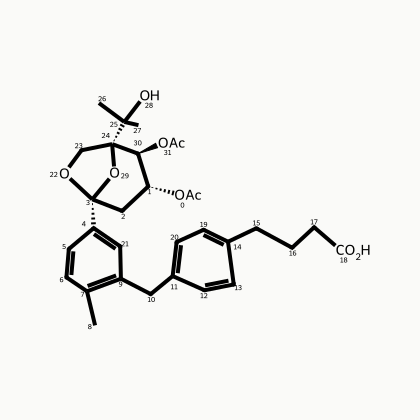 CC(=O)O[C@@H]1C[C@@]2(c3ccc(C)c(Cc4ccc(CCCC(=O)O)cc4)c3)OC[C@](C(C)(C)O)(O2)[C@H]1OC(C)=O